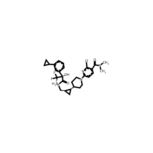 CN(C)C(=O)c1ccc(N2CCC([C@H]3C[C@H]3CN(C)C(=O)[C@](O)(c3cccc(C4CC4)c3)C(F)(F)F)CC2)nc1Cl